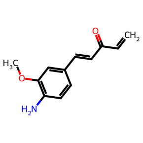 C=CC(=O)C=Cc1ccc(N)c(OC)c1